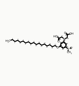 CCCCCCCCCCCCCCCCCCOc1cc(N(CC(=O)O)CC(=O)O)cc([S+](C)[O-])c1